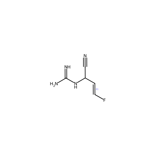 N#CC(/C=C/F)NC(=N)N